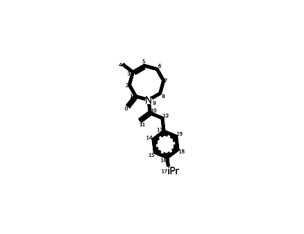 C=C1C/C(C)=C\CCCN1C(=C)Cc1ccc(C(C)C)cc1